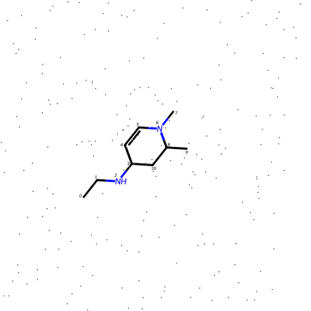 CCNC1C=CN(C)C(C)C1